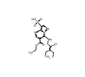 CCOC(=O)c1cnc2c(S(=O)(=O)O)cnn2c1NC/C(Cl)=C(\CC)CF